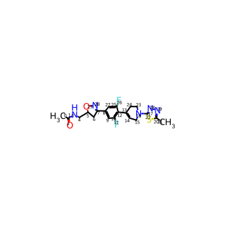 CC(=O)NCC1CC(c2cc(F)c(C3=CCN(c4nnc(C)s4)CC3)c(F)c2)=NO1